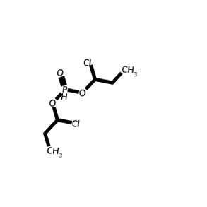 CCC(Cl)O[PH](=O)OC(Cl)CC